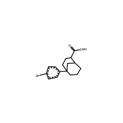 COC(=O)C1CCC2(c3ccc(Br)cc3)CCCC1C2